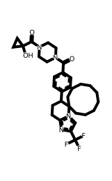 O=C(c1ccc(C2CCc3nc(C(F)(F)F)cn3C23CCCCCCCCC3)cc1)N1CCN(C(=O)C2(O)CC2)CC1